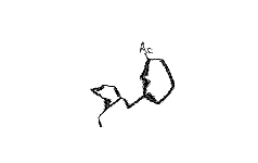 CC(=O)c1cccc(Cc2ccccc2C)c1